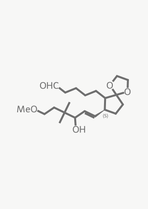 COCCC(C)(C)C(O)C=C[C@@H]1CCC2(OCCO2)C1CCCCC=O